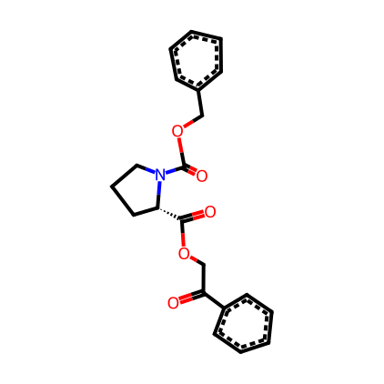 O=C(COC(=O)[C@@H]1CCCN1C(=O)OCc1ccccc1)c1ccccc1